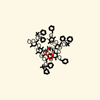 CO[C@H]1OC(CO[Si](c2ccccc2)(c2ccccc2)C(C)(C)C)[C@@H](O[C@@H]2OC(C)[C@H](O[C@@H]3OC(CO[Si](c4ccccc4)(c4ccccc4)C(C)(C)C)[C@@H](O[C@@H]4OC(C)[C@H](O[C@@H]5OC(CO[Si](c6ccccc6)(c6ccccc6)C(C)(C)C)[C@@H](O[C@@H]6OC(C)[C@@H](C)[C@@H](OCc7ccccc7)C6C)[C@H](C)C5N=[N+]=[N-])[C@@H](OCc5ccccc5)C4C)[C@H](C)C3N=[N+]=[N-])[C@@H](OCc3ccccc3)C2C)[C@H](C)C1C